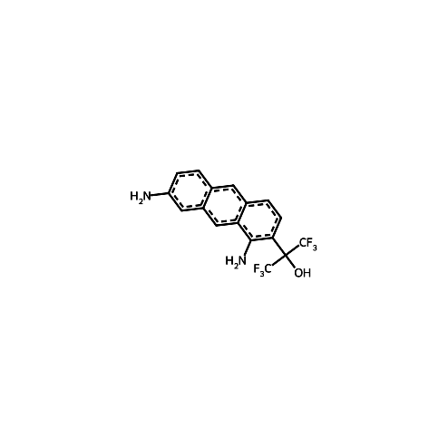 Nc1ccc2cc3ccc(C(O)(C(F)(F)F)C(F)(F)F)c(N)c3cc2c1